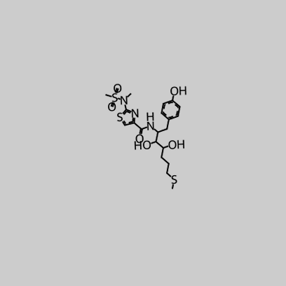 CSCCCC(O)C(O)C(Cc1ccc(O)cc1)NC(=O)c1csc(N(C)S(C)(=O)=O)n1